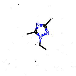 CCn1nc(C)nc1C